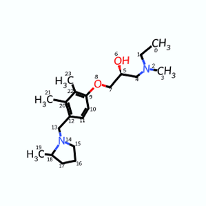 CCN(C)C[C@H](O)COc1ccc(CN2CCCC2C)c(C)c1C